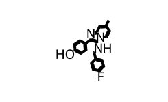 Cc1ccn2c(NCc3ccc(F)cc3)c(-c3ccc(O)cc3)nc2c1